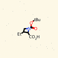 CCC1CN(C(=O)OC(C)(C)C)C1C(=O)O